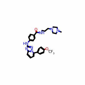 CN1CCN(CCCNC(=O)c2ccc(Nc3nc4cccc(-c5ccc(OC(F)(F)F)cc5)n4n3)cc2)CC1